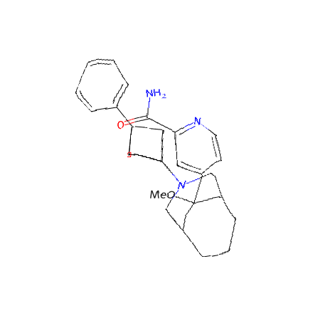 COC1(c2ccnc(C(N)=O)c2)C2CCCC1CN(C13CC(c4ccccc4)(C1)C3)C2